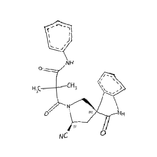 CC(C)(C(=O)Nc1ccccc1)C(=O)N1C[C@]2(C[C@H]1C#N)C(=O)Nc1ccccc12